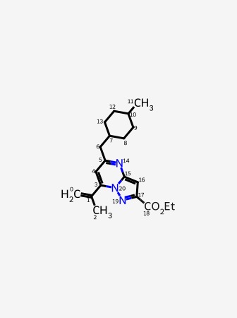 C=C(C)c1cc(CC2CCC(C)CC2)nc2cc(C(=O)OCC)nn12